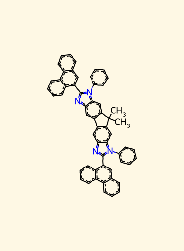 CC1(C)c2cc3c(cc2-c2cc4nc(-c5cc6ccccc6c6ccccc56)n(-c5ccccc5)c4cc21)nc(-c1cc2ccccc2c2ccccc12)n3-c1ccccc1